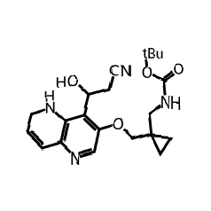 CC(C)(C)OC(=O)NCC1(COc2cnc3c(c2C(O)CC#N)NCC=C3)CC1